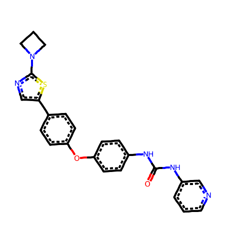 O=C(Nc1ccc(Oc2ccc(-c3cnc(N4CCC4)s3)cc2)cc1)Nc1cccnc1